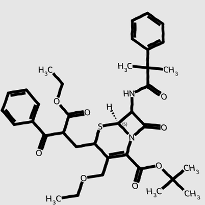 CCOCC1=C(C(=O)OC(C)(C)C)N2C(=O)C(NC(=O)C(C)(C)c3ccccc3)[C@@H]2SC1CC(C(=O)OCC)C(=O)c1ccccc1